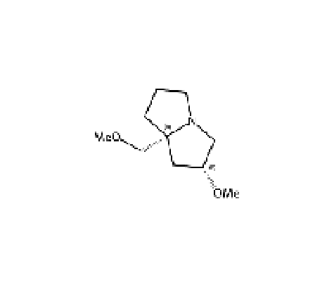 COC[C@]12CCCN1C[C@H](OC)C2